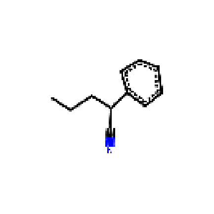 CCCC(C#N)c1ccccc1